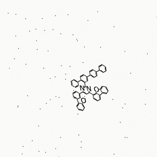 c1ccc(-c2ccc(-c3ccc(-c4ccccc4)c(-c4nc(-c5cccc6c5oc5ccccc56)cc(-c5cccc6c5oc5ccccc56)n4)c3)cc2)cc1